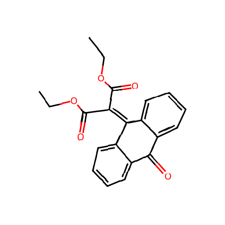 CCOC(=O)C(C(=O)OCC)=C1c2ccccc2C(=O)c2ccccc21